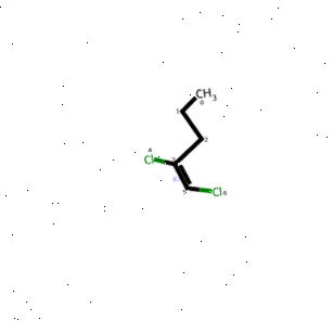 CCC/C(Cl)=C\Cl